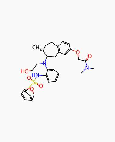 C.CN(C)C(=O)COc1ccc2c(c1)CC(N(CCO)c1ccccc1NS(=O)(=O)c1cc3ccc1OC3)CCC2